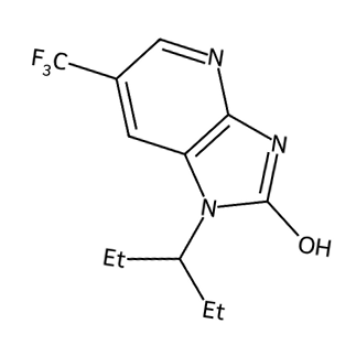 CCC(CC)n1c(O)nc2ncc(C(F)(F)F)cc21